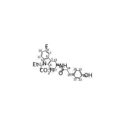 CCC(C(=O)O)n1c2c(c3cc(F)ccc31)C[C@@H](NC(=O)CCc1ccc(O)cc1)CC2